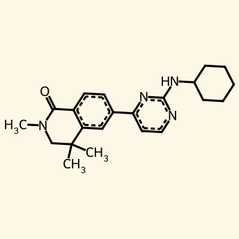 CN1CC(C)(C)c2cc(-c3ccnc(NC4CCCCC4)n3)ccc2C1=O